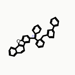 C1=CC/C(=C(/c2ccc3oc4c5ccccc5ccc4c3c2)c2ccccc2Cc2cccc(-c3ccccc3)c2)C=C1